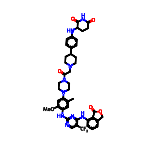 COc1cc(N2CCN(C(=O)CN3CCC(c4ccc(NC5CCC(=O)NC5=O)cc4)CC3)CC2)c(C)cc1Nc1ncc(C(F)(F)F)c(Nc2cccc3c2C(=O)OC3)n1